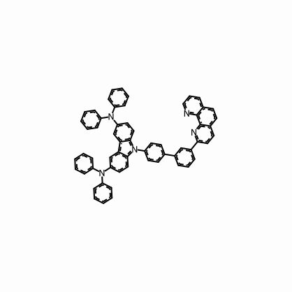 c1ccc(N(c2ccccc2)c2ccc3c(c2)c2cc(N(c4ccccc4)c4ccccc4)ccc2n3-c2ccc(-c3cccc(-c4ccc5ccc6cccnc6c5n4)c3)cc2)cc1